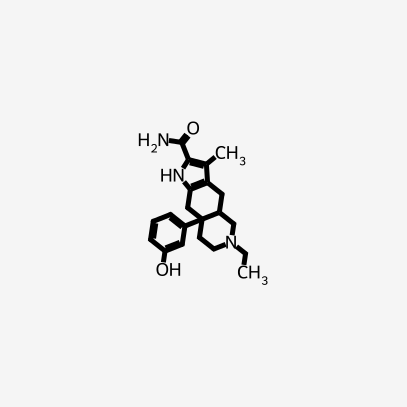 CCN1CCC2(c3cccc(O)c3)Cc3[nH]c(C(N)=O)c(C)c3CC2C1